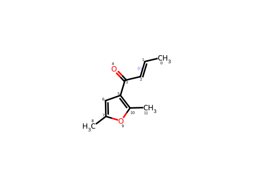 C/C=C/C(=O)c1cc(C)oc1C